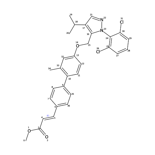 COC(=O)/C=C/c1ccc(-c2ccc(OCc3c(C(C)C)cnn3-c3c(Cl)cccc3Cl)cc2C)cc1